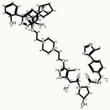 Cc1ncsc1-c1ccc([C@H](C)NC(=O)[C@@H]2C[C@@H](O)CN2C(=O)[C@@H](c2onc(OCCN3CCN(CCOc4cc(N5C6CCC5CN(c5cc(-c7ccccc7O)nnc5N)C6)ccn4)CC3)c2F)C(C)C)cc1